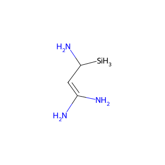 NC(N)=CC(N)[SiH3]